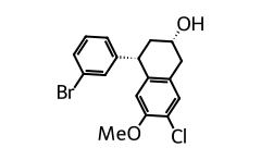 COc1cc2c(cc1Cl)C[C@@H](O)C[C@H]2c1cccc(Br)c1